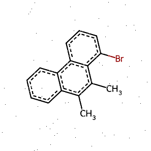 Cc1c(C)c2c(Br)cccc2c2ccccc12